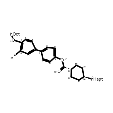 CCCCCCCCOc1ccc(-c2ccc(OC(=O)[C@H]3CC[C@H](CCCCCCC)CC3)cc2)cc1F